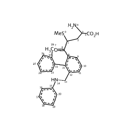 CSC(CC(N)C(=O)O)C(=O)c1cccc(CNc2ccccc2)c1-c1ccccc1C